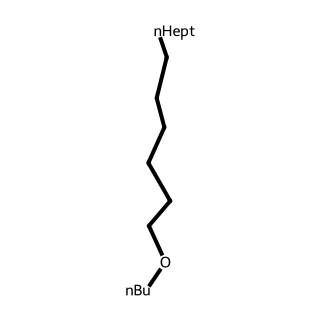 [CH2]CCCCCCCCCCCCOCCCC